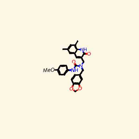 COc1ccc(NC(=O)N(Cc2ccc3c(c2)OCO3)Cc2cc3cc(C)cc(C)c3[nH]c2=O)cc1